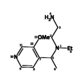 CCN(CCN)C(C)c1ccncc1OC